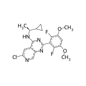 COc1cc(OC)c(F)c(-c2nc(N[C@@H](C)C3CC3)c3cc(Cl)ncc3n2)c1F